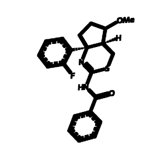 COC1CC[C@]2(c3ccccc3F)N=C(NC(=O)c3ccccc3)SC[C@H]12